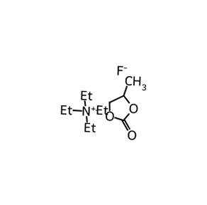 CC1COC(=O)O1.CC[N+](CC)(CC)CC.[F-]